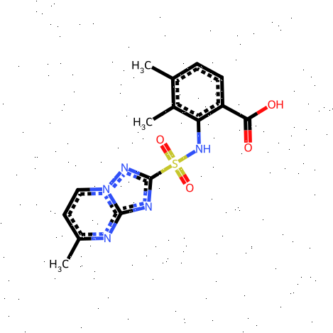 Cc1ccn2nc(S(=O)(=O)Nc3c(C(=O)O)ccc(C)c3C)nc2n1